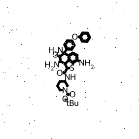 CC(C)(C)OC(=O)N1CCC[C@@H](NC(=O)C2Sc3c(N)ccc4c3C2C(N)C(=O)C4(N)c2ccc(Oc3ccccc3)cc2)C1